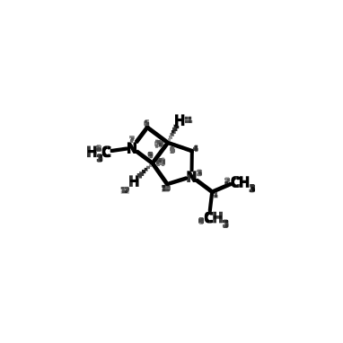 CC(C)N1C[C@@H]2CN(C)[C@@H]2C1